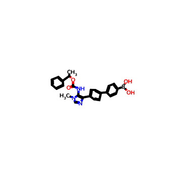 CC(OC(=O)Nc1c(-c2ccc(-c3ccc(B(O)O)cc3)cc2)ncn1C)c1ccccc1